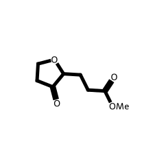 COC(=O)CCC1OCCC1=O